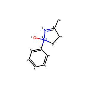 CC1=N[N+]([O-])(c2ccccc2)CC1